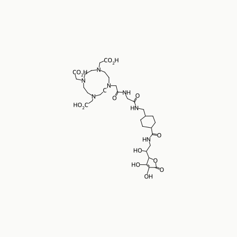 O=C(O)CN1CCN(CC(=O)O)CCN(CC(=O)NCC(=O)NCC2CCC(C(=O)NCC(O)C3OC(=O)C(O)=C3O)CC2)CCN(CC(=O)O)CC1